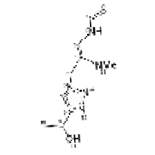 C=CN/C=C(/Cn1cc(C(C)O)nn1)NC